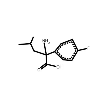 CC(C)CC(N)(C(=O)O)c1ccc(F)cc1